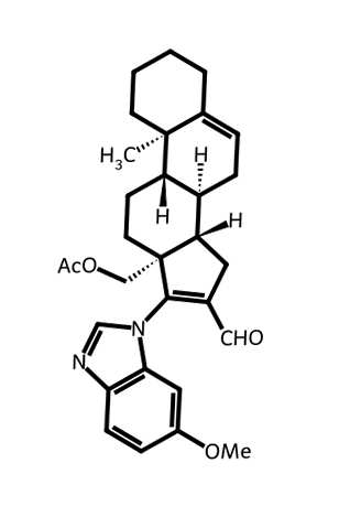 COc1ccc2ncn(C3=C(C=O)C[C@H]4[C@@H]5CC=C6CCCC[C@]6(C)[C@H]5CC[C@]34COC(C)=O)c2c1